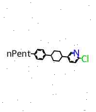 CCCCCc1ccc(C2CCC(c3ccc(Cl)nc3)CC2)cc1